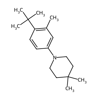 Cc1cc(N2CCC(C)(C)CC2)ccc1C(C)(C)C